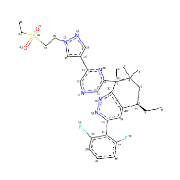 CC[C@@H]1CC(C)(C)[C@@](C)(c2cncc(-c3cnn(CCS(=O)(=O)CC)c3)n2)c2nnc(-c3c(F)cccc3F)cc21